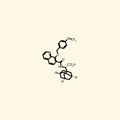 O=C(N[C@H](C(=O)O)C12C[C@H]3C[C@H](C1)C[C@@H](C2)C3)c1ccc2cccnc2c1OCc1ccc(OC(F)(F)F)cc1